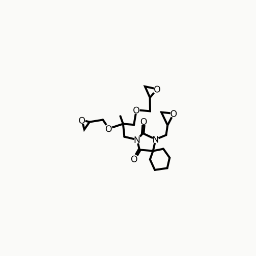 CC(COCC1CO1)(CN1C(=O)N(CC2CO2)C2(CCCCC2)C1=O)OCC1CO1